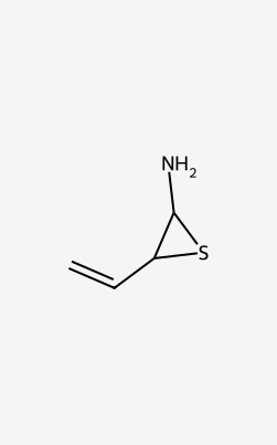 C=CC1SC1N